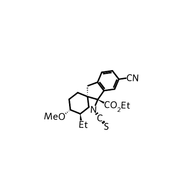 CCOC(=O)[C@]1(N=C=S)c2cc(C#N)ccc2C[C@]12CC[C@@H](OC)[C@H](CC)C2